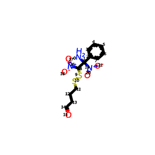 NC(c1ccccc1)(C(SSCCCC=O)[N+](=O)[O-])[N+](=O)[O-]